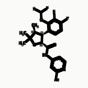 CC(=O)c1cc(NC(=O)[C@@H]2OC(C)(C)[C@H](C)[C@@H]2c2ccc(F)c(F)c2OC(F)F)ccn1